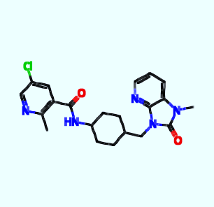 Cc1ncc(Cl)cc1C(=O)NC1CCC(Cn2c(=O)n(C)c3cccnc32)CC1